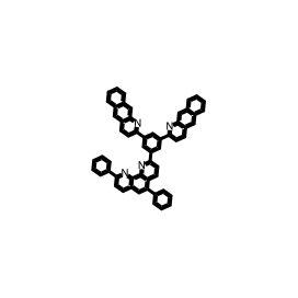 c1ccc(-c2ccc3cc(-c4ccccc4)c4ccc(-c5cc(-c6ccc7cc8ccccc8cc7n6)cc(-c6ccc7cc8ccccc8cc7n6)c5)nc4c3n2)cc1